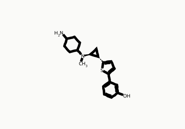 CN(C1CCC(N)CC1)[C@H]1C[C@@H]1c1ccc(-c2cccc(O)c2)s1